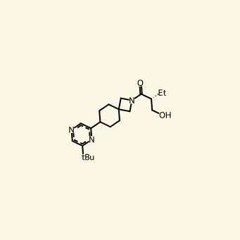 CC[C@H](CO)C(=O)N1CC2(CCC(c3cncc(C(C)(C)C)n3)CC2)C1